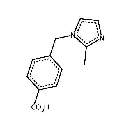 Cc1nccn1Cc1ccc(C(=O)O)cc1